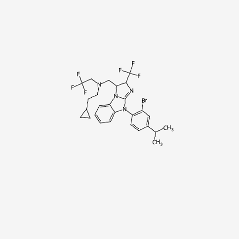 CC(C)c1ccc(N2C3=NC(C(F)(F)F)C(CN(CCC4CC4)CC(F)(F)F)N3c3ccccc32)c(Br)c1